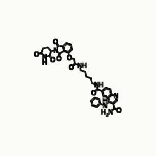 NC(=O)c1cnc2ccc(C(=O)NCCCCCNC(=O)COc3cccc4c3C(=O)N(C3CCC(=O)NC3=O)C4=O)cc2c1Nc1ccccc1